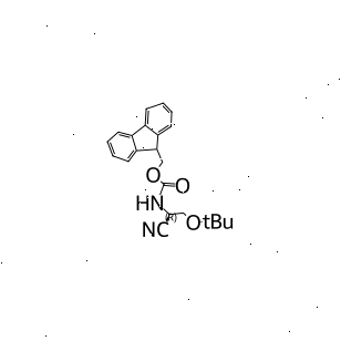 CC(C)(C)OC[C@@H](C#N)NC(=O)OCC1c2ccccc2-c2ccccc21